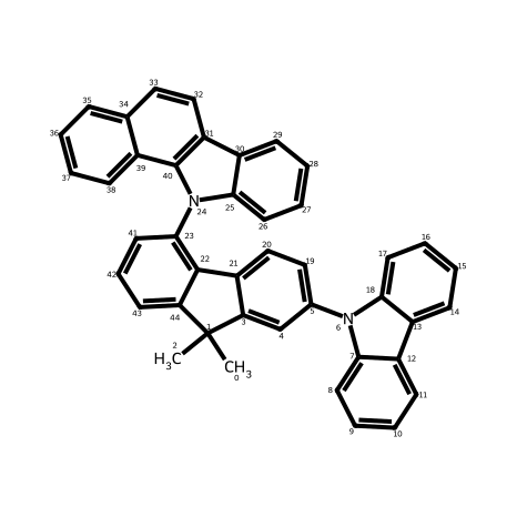 CC1(C)c2cc(-n3c4ccccc4c4ccccc43)ccc2-c2c(-n3c4ccccc4c4ccc5ccccc5c43)cccc21